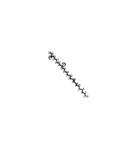 CCCCCCCCCC=CCCCCCCCC(=O)CCCCCCC(=O)CC